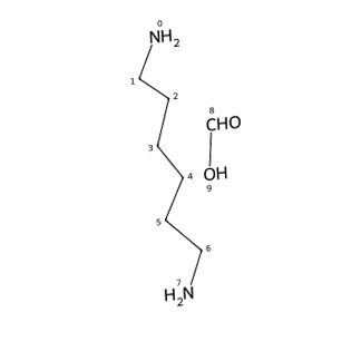 NCCCCCCN.O=CO